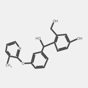 Cc1cccnc1Oc1cccc(C(O)c2ccc(O)cc2CO)c1